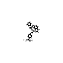 N=C(N)c1ccc(CCC(=O)N2CCCc3cccc(NS(=O)(=O)c4ccccc4)c32)cc1